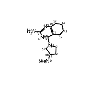 CN[C@@H]1CCN(c2nc(N)nc3c2CCCC3)C1